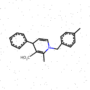 CC1=C(C(=O)O)C(c2ccccc2)C=CN1Cc1ccc(C)cc1